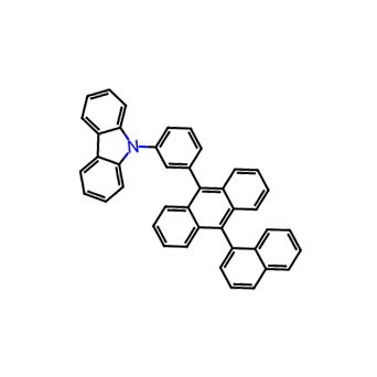 c1cc(-c2c3ccccc3c(-c3cccc4ccccc34)c3ccccc23)cc(-n2c3ccccc3c3ccccc32)c1